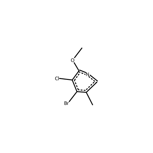 COc1ncc(C)c(Br)c1Cl